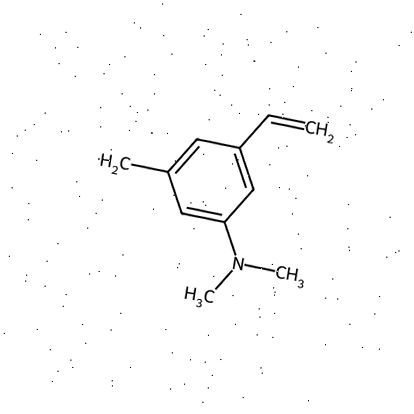 [CH2]c1cc(C=C)cc(N(C)C)c1